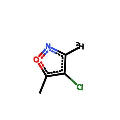 [2H]c1noc(C)c1Cl